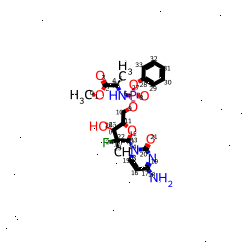 COC(=O)[C@H](C)NP(=O)(OCC1O[C@@H](n2ccc(N)nc2=O)[C@](C)(F)[C@@H]1O)Oc1ccccc1